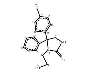 OCCN1C(=S)NCC1(c1ccccc1)c1ccc(Cl)cc1